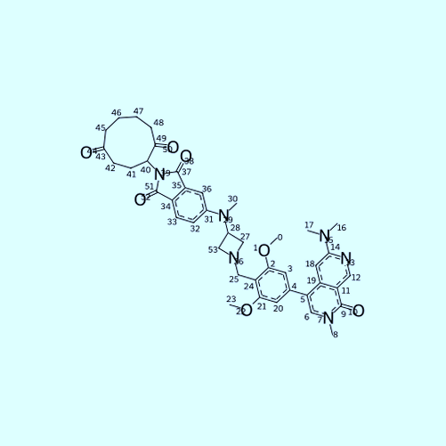 COc1cc(-c2cn(C)c(=O)c3cnc(N(C)C)cc23)cc(OC)c1CN1CC(N(C)c2ccc3c(c2)C(=O)N(C2CCC(=O)CCCCC2=O)C3=O)C1